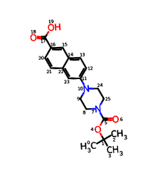 CC(C)(C)OC(=O)N1CCN(c2ccc3cc(C(=O)O)ccc3c2)CC1